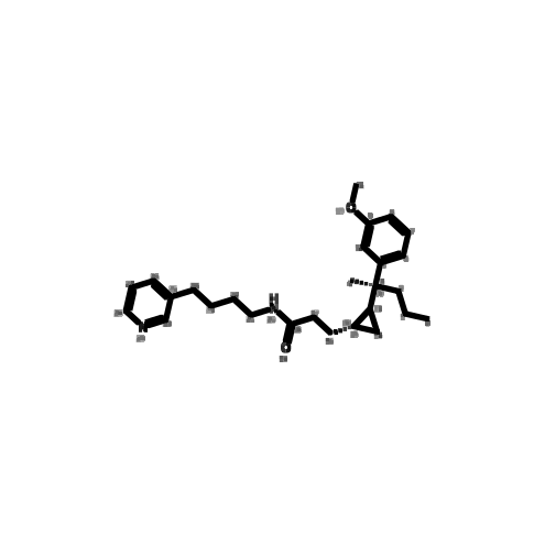 CCC[C@](C)(c1cccc(OC)c1)C1C[C@@H]1CCC(=O)NCCCCc1cccnc1